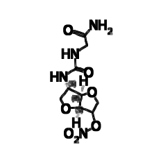 NC(=O)CNC(=O)N[C@H]1CO[C@@H]2C(O[N+](=O)[O-])CO[C@H]12